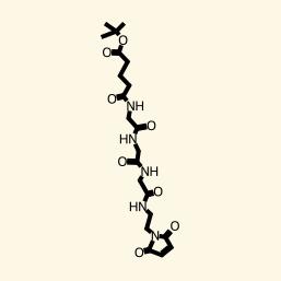 CC(C)(C)OC(=O)CCCC(=O)NCC(=O)NCC(=O)NCC(=O)NCCN1C(=O)C=CC1=O